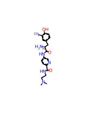 CN(C)CCNC(=O)c1ccc(NC(=O)[C@@H](N)Cc2ccc(O)c([131I])c2)cn1